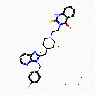 O=c1c2ccccc2[nH]c(=S)n1CCN1CCC(Cc2nc3cccnc3n2Cc2ccc(F)cc2)CC1